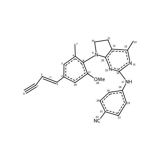 C#C/C=C/c1cc(C)c(N2CCc3c(C)nc(Nc4ccc(C#N)cc4)nc32)c(OC)c1